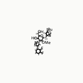 CO[C@@H]1[C@@H](n2cc(-c3cccc(F)c3F)nn2)[C@@H](O)[C@@H](CO)O[C@@H]1Cc1cc(C(C)(C)C)on1